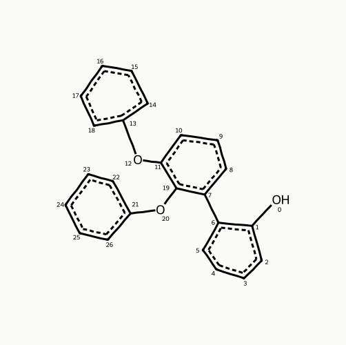 Oc1ccccc1-c1cccc(Oc2ccccc2)c1Oc1ccccc1